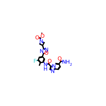 COC(=O)N1CC(c2noc(-c3cc(F)c(C)c(NC(=O)c4cnc5ccc(C(N)=O)cn45)c3)n2)C1